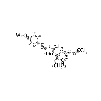 C=C[C@@H](C)[C@H](C[C@H](C)C[C@H](OCc1ccc(OC)cc1)C(C)(C)C)OC(=O)OCC(Cl)(Cl)Cl